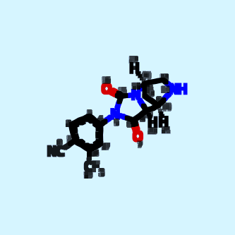 N#Cc1ccc(N2C(=O)[C@@H]3[C@H]4C[C@H](CN4)N3C2=O)cc1C(F)(F)F